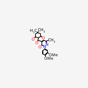 COc1ccc(-n2nc(C)cc(C(=O)C3C(=O)CC(C)(C)CC3=O)c2=O)cc1OC